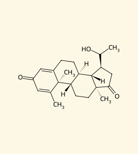 CC1=CC(=O)C=C2CC[C@H]3[C@@H]4[C@@H](C(C)O)CC(=O)[C@@]4(C)CC[C@@H]3[C@@]12C